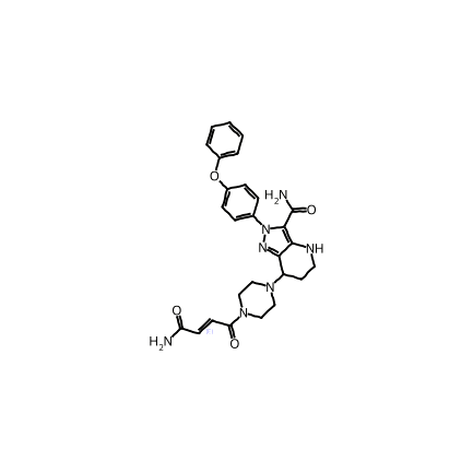 NC(=O)/C=C/C(=O)N1CCN(C2CCNc3c2nn(-c2ccc(Oc4ccccc4)cc2)c3C(N)=O)CC1